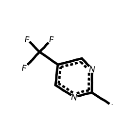 [CH2]c1ncc(C(F)(F)F)cn1